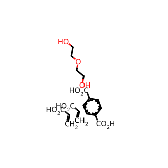 C=CC(=O)O.C=CC(=O)O.O=C(O)c1ccc(C(=O)O)cc1.OCCOCCO